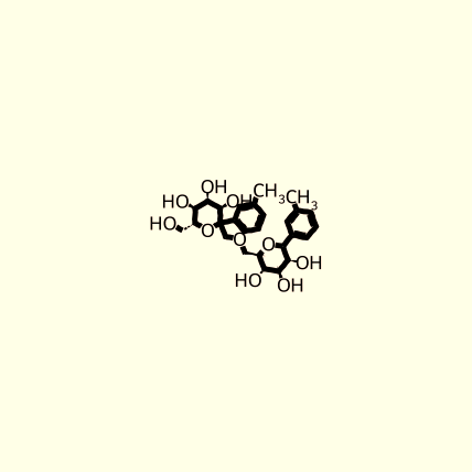 Cc1cccc(C2O[C@H](COCC3(c4cccc(C)c4)O[C@H](CO)[C@@H](O)[C@H](O)[C@H]3O)[C@@H](O)[C@H](O)[C@H]2O)c1